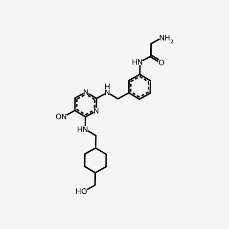 NCC(=O)Nc1cccc(CNc2ncc(N=O)c(NCC3CCC(CO)CC3)n2)c1